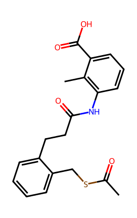 CC(=O)SCc1ccccc1CCC(=O)Nc1cccc(C(=O)O)c1C